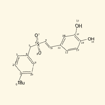 CC(C)(C)c1ccc(CS(=O)(=O)C=Cc2ccc(O)c(O)c2)cc1